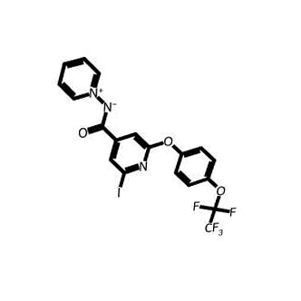 O=C([N-][n+]1ccccc1)c1cc(I)nc(Oc2ccc(OC(F)(F)C(F)(F)F)cc2)c1